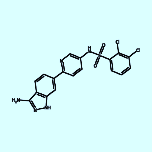 Nc1n[nH]c2cc(-c3ccc(NS(=O)(=O)c4cccc(Cl)c4Cl)cn3)ccc12